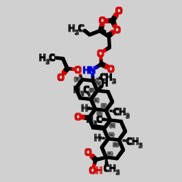 CCC(=O)O[C@H]1CC[C@@]2(C)[C@@H](CC[C@]3(C)[C@@H]2C(=O)C=C2[C@@H]4C[C@@](C)(C(=O)O)CC[C@]4(C)CC[C@]23C)[C@]1(C)NC(=O)OCc1oc(=O)oc1CC